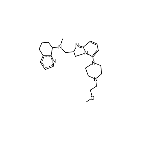 COCCN1CCN(C2=CC=CC3=NC(CN(C)C4CCCc5cccnc54)CN23)CC1